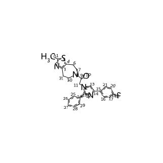 Cc1nc2c(s1)CCN(C(=O)Cn1cc(-c3ccc(F)cc3)nc1-c1ccccc1)CC2